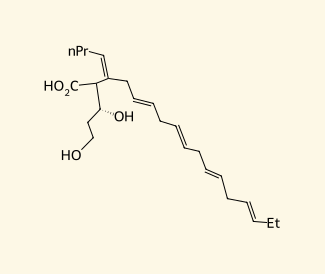 CCC=CCC=CCC=CCC=CCC(=CCCC)C(C(=O)O)[C@H](O)CCO